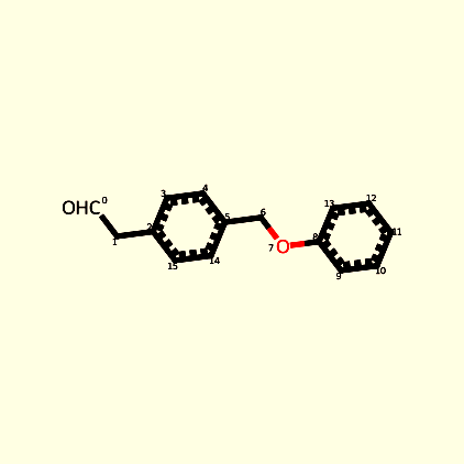 O=CCc1ccc(COc2ccccc2)cc1